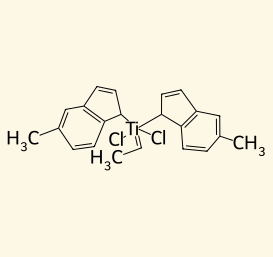 C[CH]=[Ti]([Cl])([Cl])([CH]1C=Cc2cc(C)ccc21)[CH]1C=Cc2cc(C)ccc21